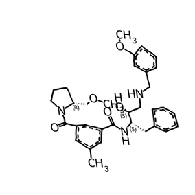 COC[C@H]1CCCN1C(=O)c1cc(C)cc(C(=O)N[C@@H](Cc2ccccc2)[C@@H](O)CNCc2cccc(OC)c2)c1